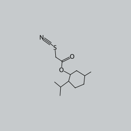 CC1CCC(C(C)C)C(OC(=O)CSC#N)C1